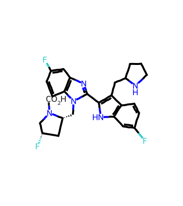 O=C(O)N1C[C@@H](F)C[C@H]1Cn1c(-c2[nH]c3cc(F)ccc3c2CC2CCCN2)nc2cc(F)ccc21